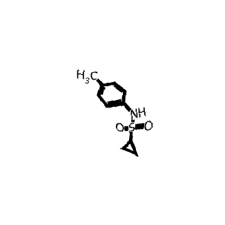 Cc1ccc(NS(=O)(=O)C2CC2)cc1